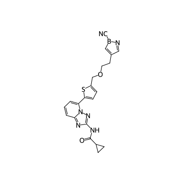 N#CB1C=C(CCOCc2ccc(-c3cccc4nc(NC(=O)C5CC5)nn34)s2)C=N1